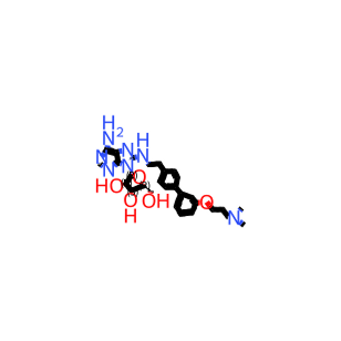 CN(C)CCCOc1cccc(-c2ccc(CCNc3nc4c(N)ncnc4n3[C@@H]3O[C@H](CO)[C@@H](O)[C@H]3O)cc2)c1